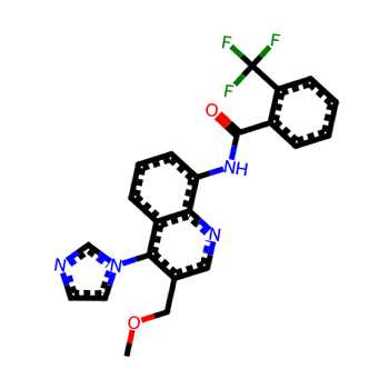 COCc1cnc2c(NC(=O)c3ccccc3C(F)(F)F)cccc2c1-n1ccnc1